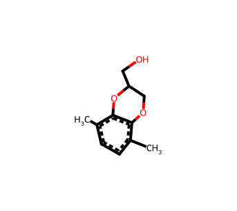 Cc1ccc(C)c2c1OCC(CO)O2